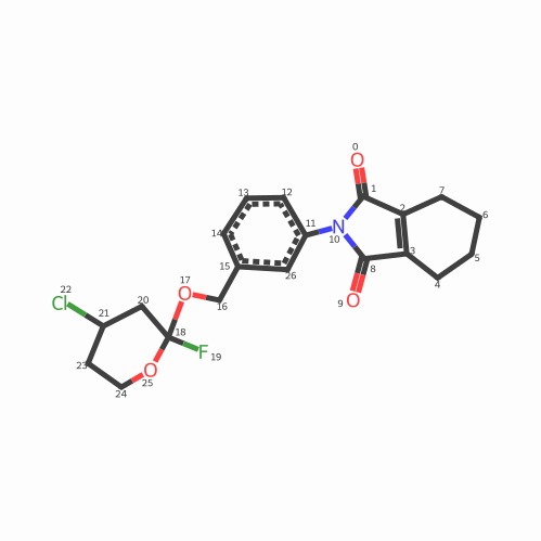 O=C1C2=C(CCCC2)C(=O)N1c1cccc(COC2(F)CC(Cl)CCO2)c1